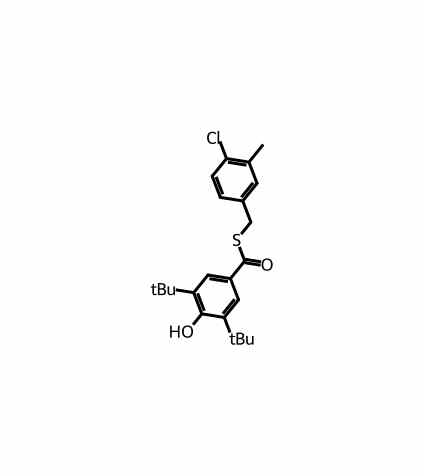 Cc1cc(CSC(=O)c2cc(C(C)(C)C)c(O)c(C(C)(C)C)c2)ccc1Cl